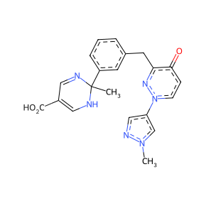 Cn1cc(-n2ccc(=O)c(Cc3cccc(C4(C)N=CC(C(=O)O)=CN4)c3)n2)cn1